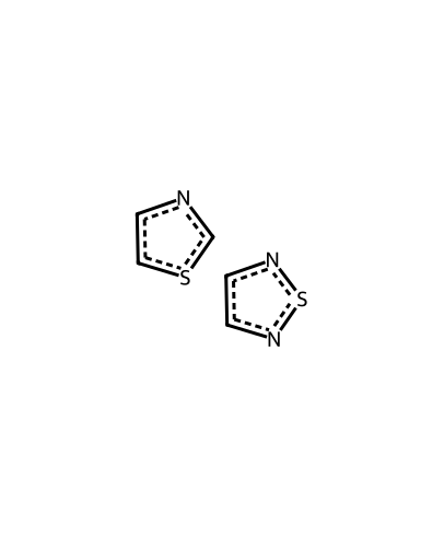 c1cnsn1.c1cscn1